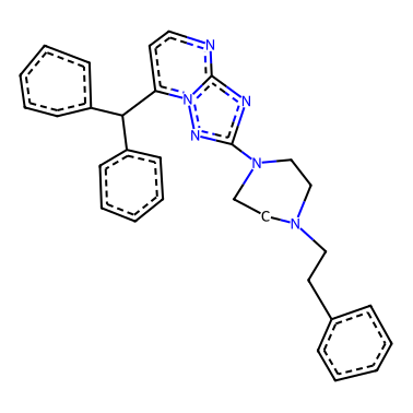 c1ccc(CCN2CCN(c3nc4nccc(C(c5ccccc5)c5ccccc5)n4n3)CC2)cc1